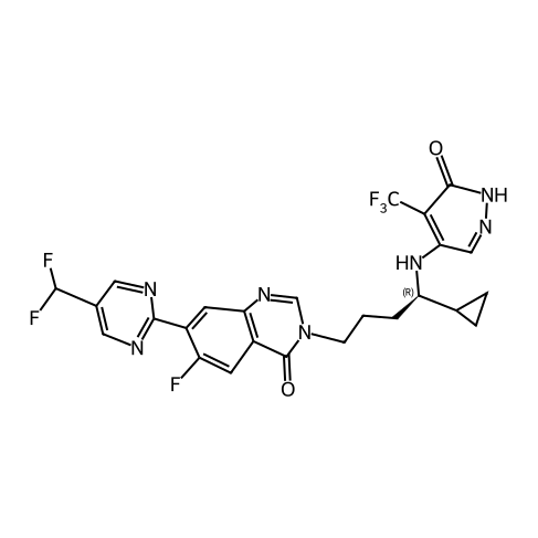 O=c1[nH]ncc(N[C@H](CCCn2cnc3cc(-c4ncc(C(F)F)cn4)c(F)cc3c2=O)C2CC2)c1C(F)(F)F